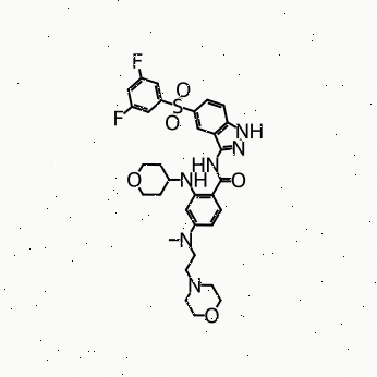 CN(CCN1CCOCC1)c1ccc(C(=O)Nc2n[nH]c3ccc(S(=O)(=O)c4cc(F)cc(F)c4)cc23)c(NC2CCOCC2)c1